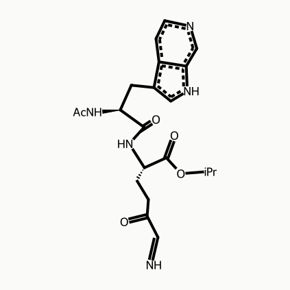 CC(=O)N[C@@H](Cc1c[nH]c2cnccc12)C(=O)N[C@@H](CCC(=O)C=N)C(=O)OC(C)C